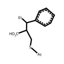 CCC(c1ccccc1)C(CSC(C)=O)C(=O)O